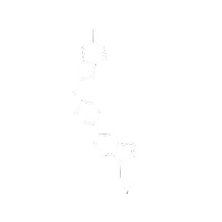 CC(C)[C@@H](Cc1nnc2cc(-c3ccc(Nc4nc5ccc(Cl)cc5s4)cc3)ccn12)C(=O)O